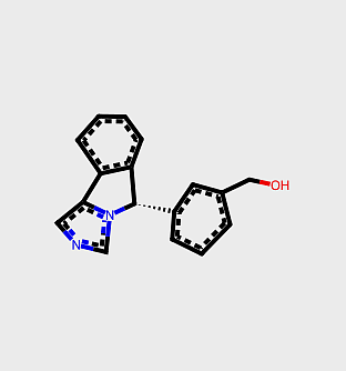 OCc1cccc([C@H]2c3ccccc3-c3cncn32)c1